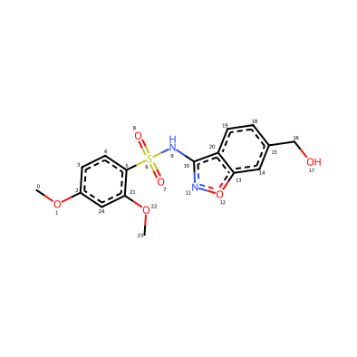 COc1ccc(S(=O)(=O)Nc2noc3cc(CO)ccc23)c(OC)c1